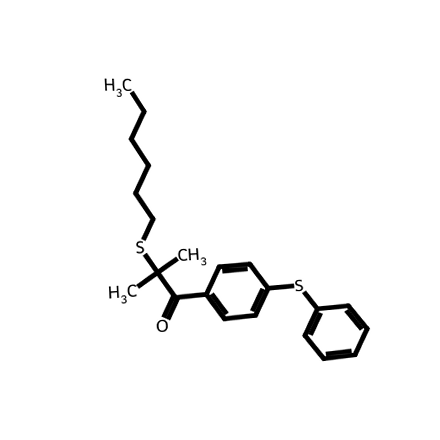 CCCCCCSC(C)(C)C(=O)c1ccc(Sc2ccccc2)cc1